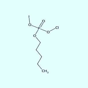 CCCCCOP(=O)(OCl)OI